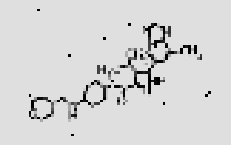 Cc1cc(-c2[nH]nc(C(=O)NC3CCC(NCC4CCOCC4)CC3)c2C(C)C)cn2ncnc12